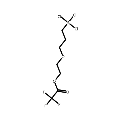 O=C(OCCOCCCS(Cl)(Cl)Cl)C(F)(F)F